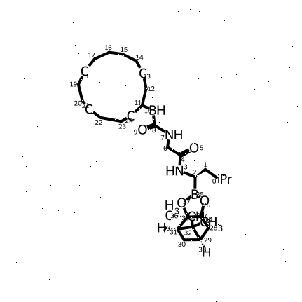 CC(C)C[C@H](NC(=O)CNC(=O)BC1CCCCCCCCCCCCC1)B1OC2C[C@H]3C[C@H](C3(C)C)[C@@]2(C)O1